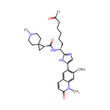 CCC(=O)CCCCC[C@H](NC(=O)[C@H]1CC12CCN(CC)CC2)c1ncc(-c2cc3ccc(=O)n(C)c3cc2OC)[nH]1